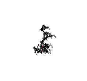 C=C(CNC(=C)[C@H](C)[C@@H](OC)[C@@H]1C[C@H](OC(=O)NCCNC(=O)OCc2ccc(NC(=O)[C@H](CCCNC(N)=O)NC(=O)[C@@H](NC(=O)CCCCCN3C(=O)CC(SCC4(CC(N)=O)CC4)C3=O)C(C)C)cc2)CN1C(=O)C[C@@H](OC)[C@H]([C@@H](C)CC)N(C)C(=O)[C@@H](NC(=O)[C@H](C(C)C)N(C)C)C(C)C)c1ccc2cc(OC)ccc2c1